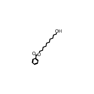 O=C(OCCCCCCCCCCO)c1ccccc1